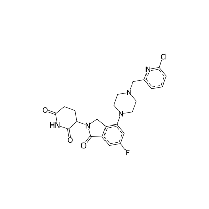 O=C1CCC(N2Cc3c(cc(F)cc3N3CCN(Cc4cccc(Cl)n4)CC3)C2=O)C(=O)N1